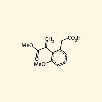 C=C(C(=O)OC)c1c(CC(=O)O)cccc1OC